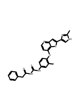 Cc1nc(-c2cc3nccc(Oc4ccc(NC(=S)NC(=O)Cc5ccccc5)cc4F)c3s2)c[nH]1